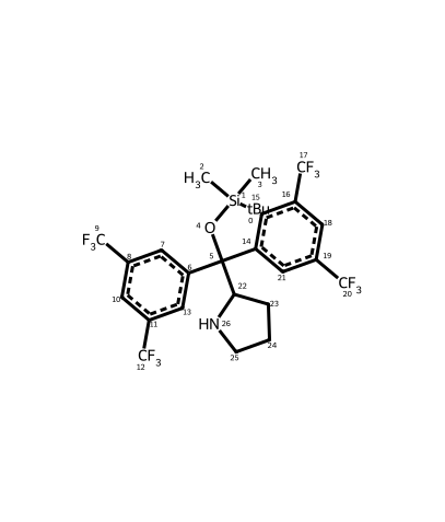 CC(C)(C)[Si](C)(C)OC(c1cc(C(F)(F)F)cc(C(F)(F)F)c1)(c1cc(C(F)(F)F)cc(C(F)(F)F)c1)C1CCCN1